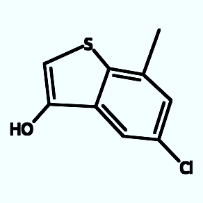 Cc1cc(Cl)cc2c(O)csc12